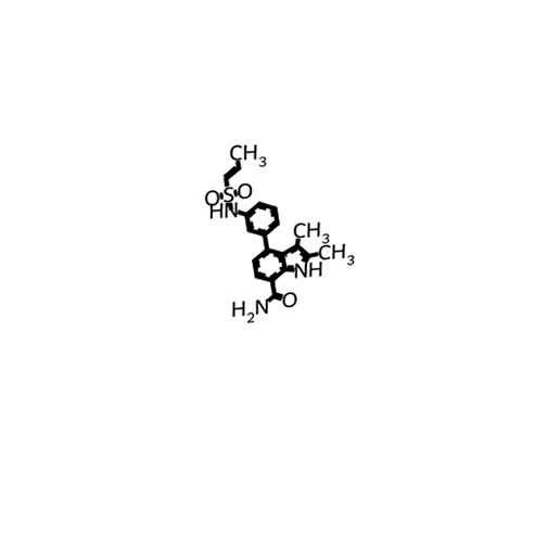 CC=CS(=O)(=O)Nc1cccc(-c2ccc(C(N)=O)c3[nH]c(C)c(C)c23)c1